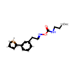 CCCCCCCCCCCCNC(=O)ON=CCc1cccc(-c2cccs2)c1